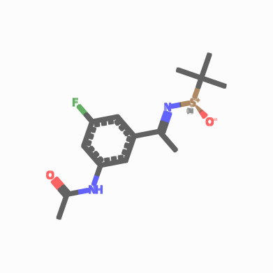 CC(=O)Nc1cc(F)cc(C(C)=N[S@+]([O-])C(C)(C)C)c1